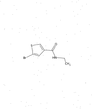 CCNC(=O)c1csc(Br)c1